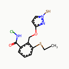 CCSc1cccc(C(=O)NCl)c1COc1ccn(S)n1